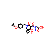 O=C(O)CNC(=O)C1=C(O)C2(CCC2)CN(Cc2ccc(OC3CC3)cc2)C1=O